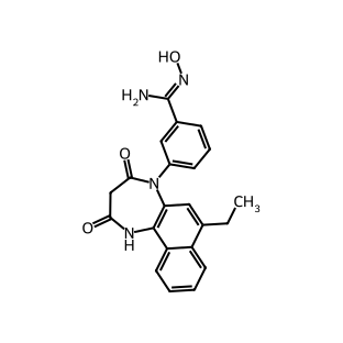 CCc1cc2c(c3ccccc13)NC(=O)CC(=O)N2c1cccc(/C(N)=N/O)c1